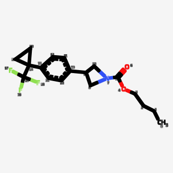 CCCCOC(=O)N1CC(c2ccc(C3(C(F)(F)F)CC3)cc2)C1